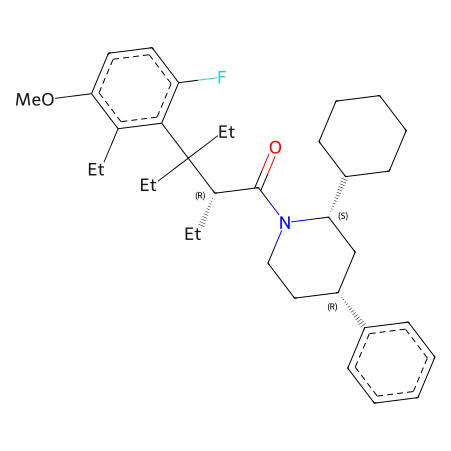 CCc1c(OC)ccc(F)c1C(CC)(CC)[C@@H](CC)C(=O)N1CC[C@@H](c2ccccc2)C[C@H]1C1CCCCC1